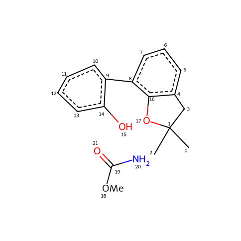 CC1(C)Cc2cccc(-c3ccccc3O)c2O1.COC(N)=O